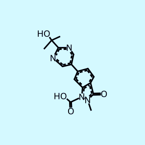 Cn1c(=O)c2ccc(-c3cnc(C(C)(C)O)nc3)cc2n1C(=O)O